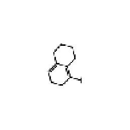 IC1=C2CCCCC2=CCC1